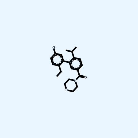 CCc1ccc(Cl)cc1-c1cc(C(=O)N2CCOCC2)ccc1C(C)C